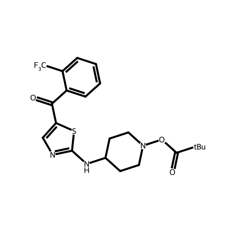 CC(C)(C)C(=O)ON1CCC(Nc2ncc(C(=O)c3ccccc3C(F)(F)F)s2)CC1